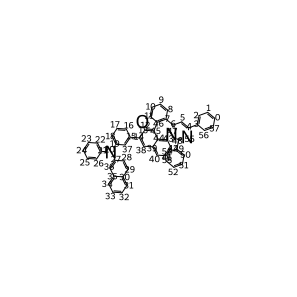 c1ccc(-c2cc(-c3cccc4oc5c(-c6cccc(N(c7ccccc7)c7ccc8ccccc8c7)c6)cc6ccccc6c5c34)nc(-c3ccccc3)n2)cc1